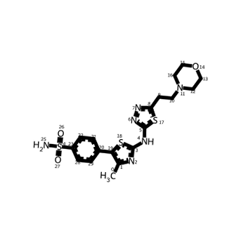 Cc1nc(Nc2nnc(CCN3CCOCC3)s2)sc1-c1ccc(S(N)(=O)=O)cc1